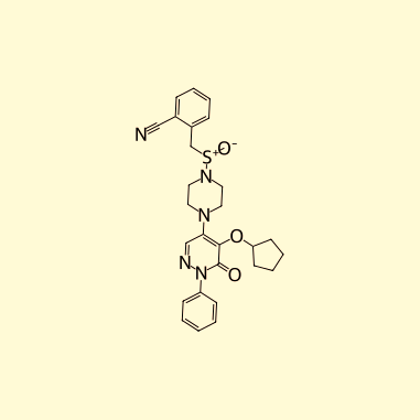 N#Cc1ccccc1C[S+]([O-])N1CCN(c2cnn(-c3ccccc3)c(=O)c2OC2CCCC2)CC1